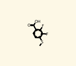 CSc1ccc(C(=O)O)c(F)c1F